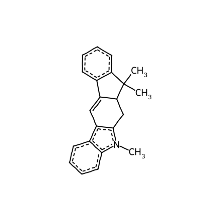 Cn1c2c(c3ccccc31)C=C1c3ccccc3C(C)(C)C1C2